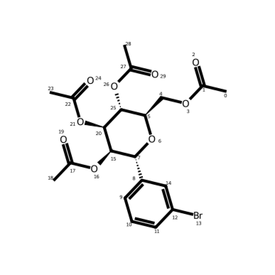 CC(=O)OC[C@H]1O[C@H](c2cccc(Br)c2)[C@@H](OC(C)=O)[C@@H](OC(C)=O)[C@@H]1OC(C)=O